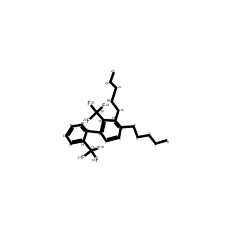 CCCCCc1ccc(-c2ccccc2C(F)(F)F)c(C(F)(F)F)c1CCCCC